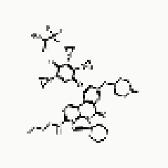 CCCCNc1ncc2c3ccc(CN4CCN(C)CC4)cc3c(=O)n(C3(C#N)CCCCC3)c2n1.O=C(O)C(F)(F)F.O=C1C=C(N2CC2)C(=O)C(N2CC2)=C1N1CC1